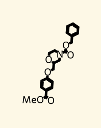 COC(=O)c1ccc(OCC2CN(C(=O)OCc3ccccc3)CCO2)cc1